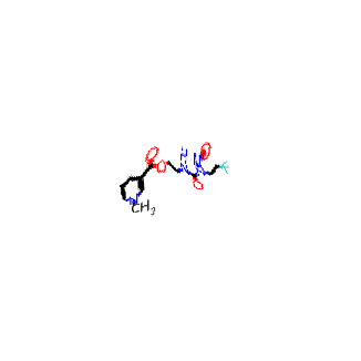 CN1C=CCC(C(=O)OCCNC(=O)N(CCF)N=O)=C1